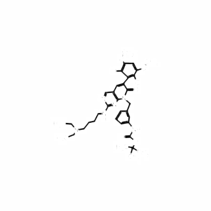 CCN(CC)CCCCNc1ncc2cc(-c3c(Cl)c(OC)cc(OC)c3Cl)c(=O)n(Cc3cccc(NC(=O)OC(C)(C)C)c3)c2n1